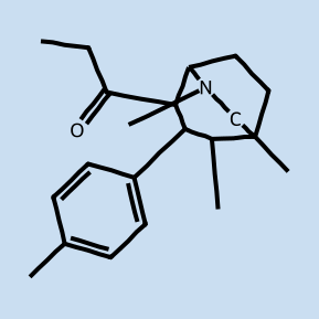 CCC(=O)C1C(c2ccc(C)cc2)C(C)C2(C)CCC1N(C)C2